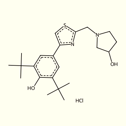 CC(C)(C)c1cc(-c2csc(CN3CCC(O)C3)n2)cc(C(C)(C)C)c1O.Cl